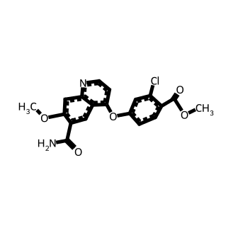 COC(=O)c1ccc(Oc2ccnc3cc(OC)c(C(N)=O)cc23)cc1Cl